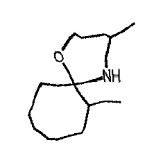 CC1COC2(CCCCC2C)N1